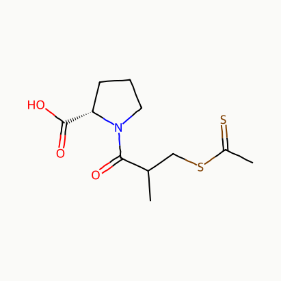 CC(=S)SCC(C)C(=O)N1CCC[C@H]1C(=O)O